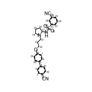 N#Cc1ccc(-c2ccc(OCCCN3CCCC3NS(=O)(=O)c3cccc(C#N)c3)cc2)cc1